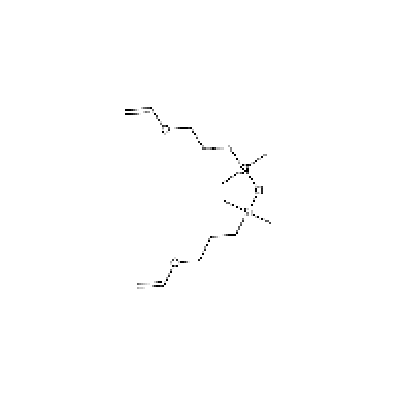 C=COCCC[Si](C)(C)O[Si](C)(C)CCCOC=C